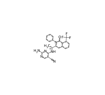 C[C@H](Nc1nc(N)ncc1C#N)c1cc2cccc(C(F)(F)F)c2c(=O)n1-c1ccccc1